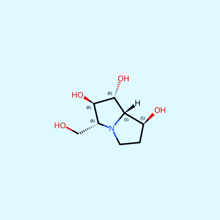 OC[C@@H]1[C@@H](O)[C@H](O)[C@@H]2[C@@H](O)CCN21